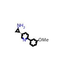 COc1cccc(-c2ccc([C@@H]3C[C@H]3N)cn2)c1